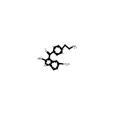 CCCCc1oc2ccc(C(=O)O)cc2c1C(=O)c1ccc(CCN)cc1